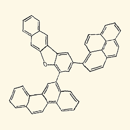 c1ccc2cc3c(cc2c1)oc1c(-c2cc4c5ccccc5ccc4c4ccccc24)cc(-c2ccc4ccc5cccc6ccc2c4c56)cc13